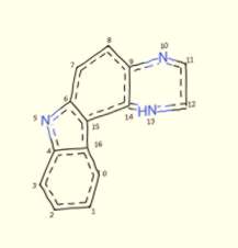 [c]1cccc2nc3ccc4ncc[nH]c4c3c12